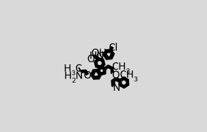 C[C@@H](COc1ccnc2c1[C@H](C)CCC2)CC1Cc2ccc(OC[C@H](C)N)cc2C12CCC(Nc1cccc(Cl)c1)(C(=O)O)CC2